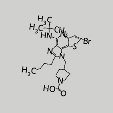 CCCCc1nc2c(NC(C)(C)C)nc3cc(Br)sc3c2n1CC1CCN(C(=O)O)CC1